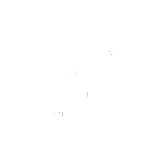 COc1cccc(C(Cl)(Cl)c2cccc(C#N)c2)c1